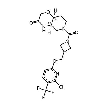 O=C1CO[C@H]2CCN(C(=O)N3CC(COc4ccc(C(F)(F)F)c(Cl)n4)C3)C[C@H]2N1